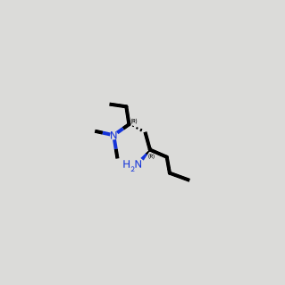 CCC[C@@H](N)C[C@@H](CC)N(C)C